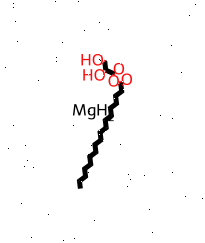 CCCCCCCCCCCCCCCCCC(=O)OC(=O)C(O)CO.[MgH2]